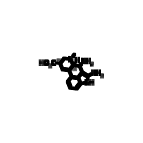 CN1C[C@H](C(=O)O)C=C2c3cccc4[nH]c(N)c(c34)C(N)[C@H]21